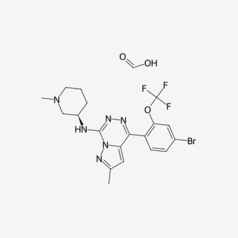 Cc1cc2c(-c3ccc(Br)cc3OC(F)(F)F)nnc(N[C@@H]3CCCN(C)C3)n2n1.O=CO